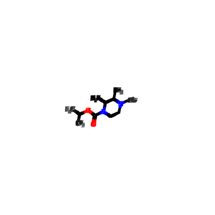 BC1C(B)N(C(C)(C)C)CCN1C(=O)OC(C(F)(F)F)C(F)(F)F